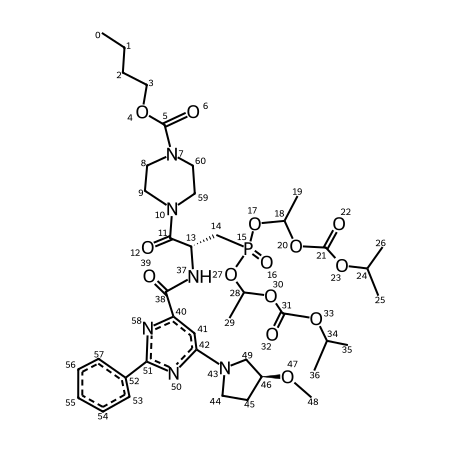 CCCCOC(=O)N1CCN(C(=O)[C@H](CP(=O)(OC(C)OC(=O)OC(C)C)OC(C)OC(=O)OC(C)C)NC(=O)c2cc(N3CC[C@H](OC)C3)nc(-c3ccccc3)n2)CC1